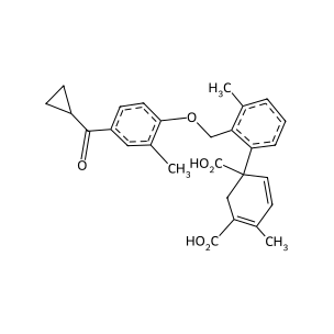 CC1=C(C(=O)O)CC(C(=O)O)(c2cccc(C)c2COc2ccc(C(=O)C3CC3)cc2C)C=C1